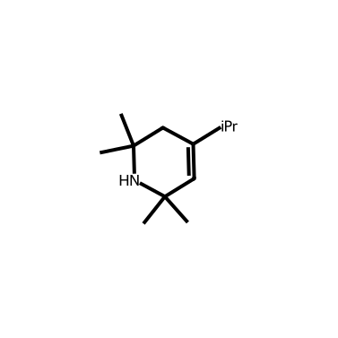 CC(C)C1=CC(C)(C)NC(C)(C)C1